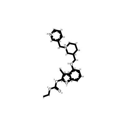 CCOC(=O)Oc1oc2cccc(OCC3CCCN(Cc4cccnc4)C3)c2c1C